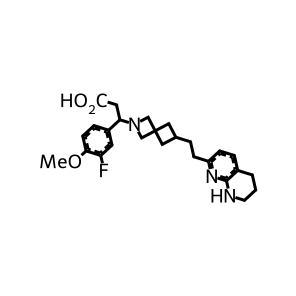 COc1ccc(C(CC(=O)O)N2CC3(CC(CCc4ccc5c(n4)NCCC5)C3)C2)cc1F